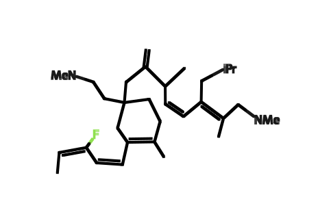 C=C(CC1(CCNC)CCC(C)=C(/C=C\C(F)=C/C)C1)C(C)/C=C\C(CC(C)C)=C(/C)CNC